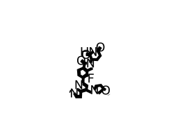 COC1CCN(Cc2cc(-c3ccc4c(c3F)CN(C3CCC(=O)NC3=O)C4=O)nc3c2ccn3C)C1